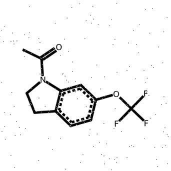 CC(=O)N1CCc2ccc(OC(F)(F)F)cc21